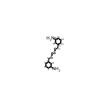 Nc1cccc(CSSSSCc2cccc(N)c2)c1